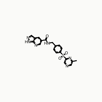 Cc1cncc(S(=O)(=O)c2ccc(CNC(=O)c3cnc4[nH]ncc4c3)cc2)n1